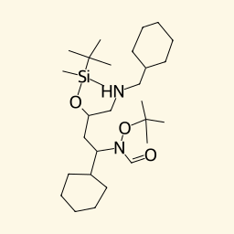 CC(C)(C)ON(C=O)C(CC(CNCC1CCCCC1)O[Si](C)(C)C(C)(C)C)C1CCCCC1